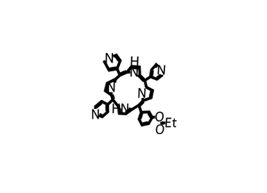 CCC(=O)Oc1cccc(-c2c3nc(c(-c4ccncc4)c4ccc([nH]4)c(-c4ccncc4)c4nc(c(-c5ccncc5)c5ccc2[nH]5)C=C4)C=C3)c1